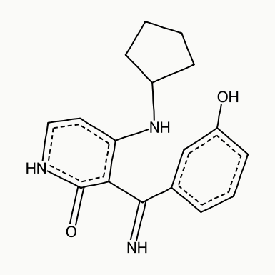 N=C(c1cccc(O)c1)c1c(NC2CCCC2)cc[nH]c1=O